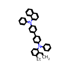 C=Cc1c(CC)cccc1N(c1ccccc1)c1ccc(-c2ccc(N(c3ccccc3)c3cccc4ccccc34)cc2)cc1